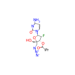 CC(C)C(=O)O[C@H]1[C@@H](F)[C@H](n2ccc(N)nc2=O)O[C@@]1(CO)CN=[N+]=[N-]